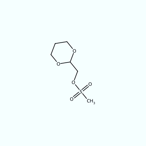 CS(=O)(=O)OCC1OCCCO1